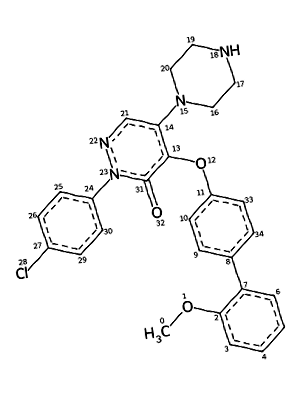 COc1ccccc1-c1ccc(Oc2c(N3CCNCC3)cnn(-c3ccc(Cl)cc3)c2=O)cc1